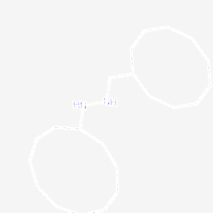 C1CCCCC(CNNC2CCCCCCCCCC2)CCCC1